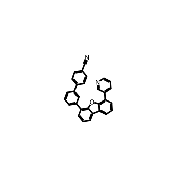 N#Cc1ccc(-c2cccc(-c3cccc4c3oc3c(-c5cccnc5)cccc34)c2)cc1